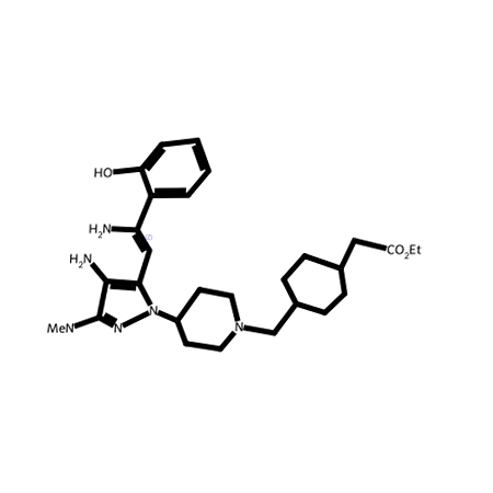 CCOC(=O)CC1CCC(CN2CCC(n3nc(NC)c(N)c3/C=C(\N)c3ccccc3O)CC2)CC1